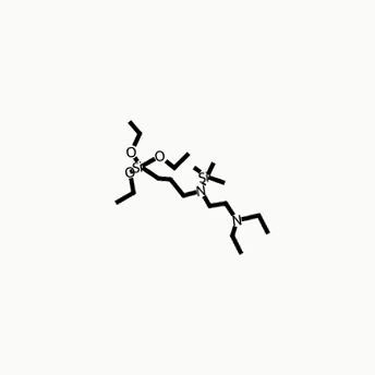 CCO[Si](CCCN(CCN(CC)CC)[Si](C)(C)C)(OCC)OCC